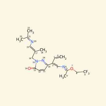 C=C/C(=C\N=C(/C)OCC(F)(F)F)c1ccc(=O)n(C/C(C)=C/N=C(C)C)n1